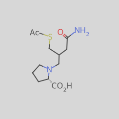 CC(=O)SCC(CC(N)=O)CN1CCC[C@H]1C(=O)O